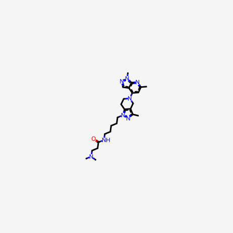 Cc1cc(N2CCc3c(c(C)nn3CCCCCNC(=O)CCN(C)C)C2)c2cnn(C)c2n1